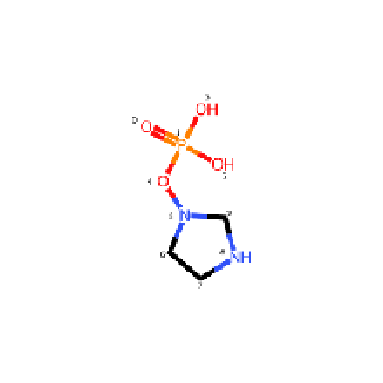 O=P(O)(O)ON1CCNC1